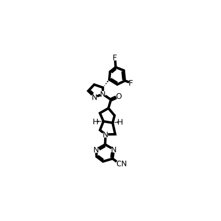 N#Cc1ccnc(N2C[C@H]3CC(C(=O)N4N=CC[C@@H]4c4cc(F)cc(F)c4)C[C@H]3C2)n1